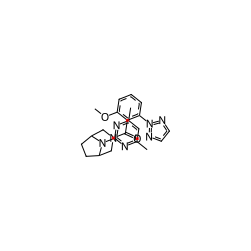 COc1cccc(-n2nccn2)c1C(=O)N1CC2CCC(C1)N2c1nc(C)cc(C)n1